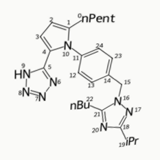 CCCCCc1ccc(-c2nnn[nH]2)n1-c1ccc(Cn2nc(C(C)C)nc2CCCC)cc1